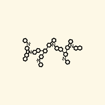 CN(c1ccccc1)c1ccc(-c2ccc(-c3ccc4c5ccccc5n(-c5ccc6cc(-c7cc(N(C)c8ccccc8)ccc7-c7ccc8c9ccccc9n(-c9ccc%10ccccc%10c9)c8c7)ccc6c5)c4c3)cc2-c2ccc3cc(-n4c5cc(N(C)c6ccccc6)ccc5c5cc6ccccc6cc54)ccc3c2)cc1